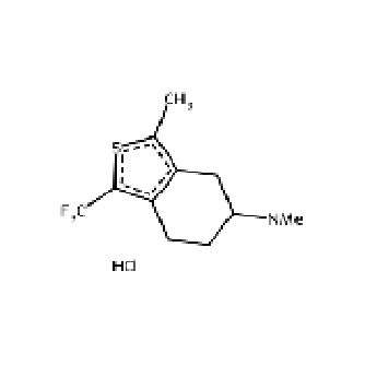 CNC1CCc2c(C(F)(F)F)sc(C)c2C1.Cl